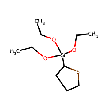 CCO[Si](OCC)(OCC)C1CCCS1